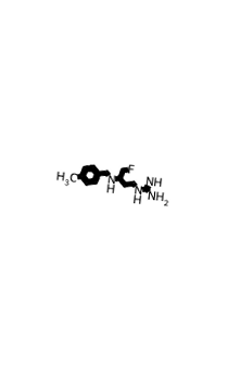 Cc1ccc(CNC(CF)CCNC(=N)N)cc1